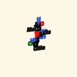 COC(=O)C(C[C@@H]1CC(C)(C)NC1=O)NC(=O)[C@H](CC(C)(C)C)NC(=O)c1cc2cc(OC)cc(Cl)c2[nH]1